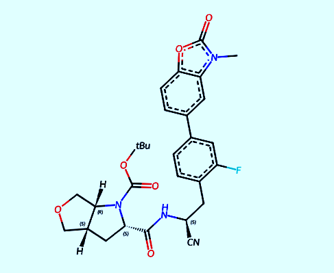 Cn1c(=O)oc2ccc(-c3ccc(C[C@@H](C#N)NC(=O)[C@@H]4C[C@@H]5COC[C@@H]5N4C(=O)OC(C)(C)C)c(F)c3)cc21